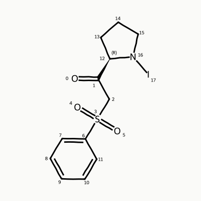 O=C(CS(=O)(=O)c1ccccc1)[C@H]1CCCN1I